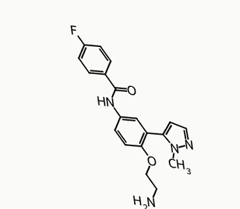 Cn1nccc1-c1cc(NC(=O)c2ccc(F)cc2)ccc1OCCN